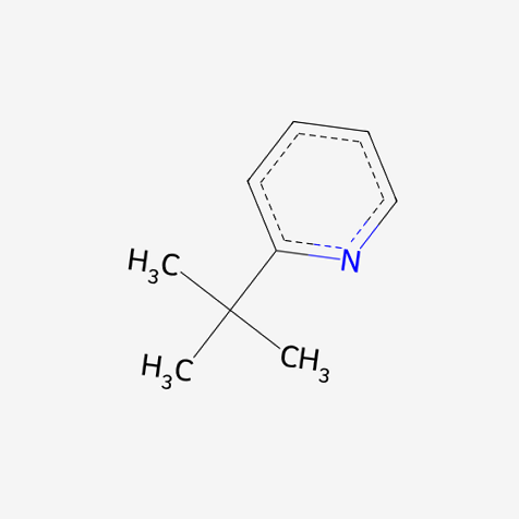 CC(C)(C)c1ccccn1